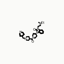 CCN(C)CCn1c(=O)n(C2=CCN(C(=O)C3CCN(Cc4ccncc4)CC3)CC2)c2ccccc21